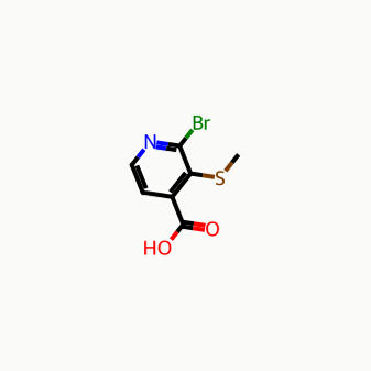 CSc1c(C(=O)O)ccnc1Br